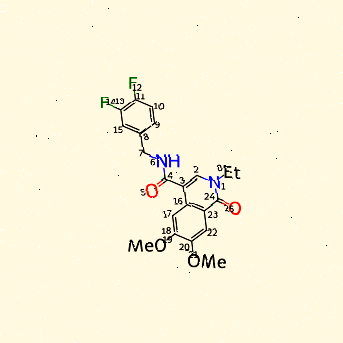 CCn1cc(C(=O)NCc2ccc(F)c(F)c2)c2cc(OC)c(OC)cc2c1=O